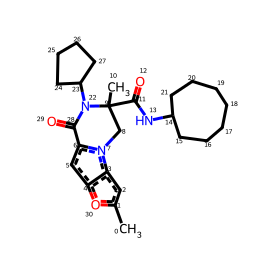 Cc1cc2c(cc3n2CC(C)(C(=O)NC2CCCCCCC2)N(C2CCCC2)C3=O)o1